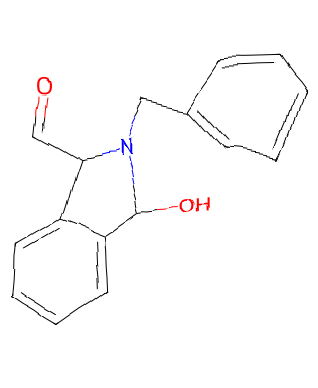 O=CC1c2ccccc2C(O)N1Cc1ccccc1